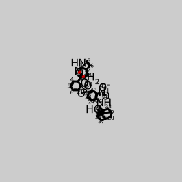 NC(=O)C1C=CC=CC1(Oc1cnc2[nH]ccc2c1)S(=O)(=O)c1ccc(NCC23CC4CC(C2)C(O)C(C4)C3)c([N+](=O)[O-])c1